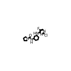 O=C(NC1CCCC(Nc2nc(Cl)ncc2F)C1)N1CCCC1